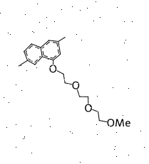 COCCOCCOCCOc1cc(C)cc2ccc(C)cc12